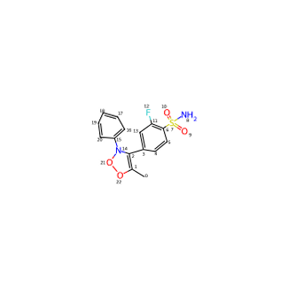 CC1=C(c2ccc(S(N)(=O)=O)c(F)c2)N(c2ccccc2)OO1